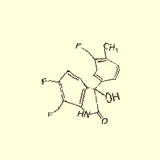 Cc1ccc(C2(O)C(=O)Nc3c2ccc(F)c3F)cc1F